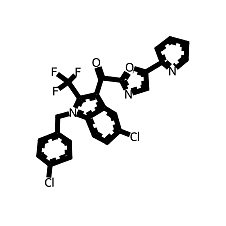 O=C(c1ncc(-c2ccccn2)o1)c1c(C(F)(F)F)n(Cc2ccc(Cl)cc2)c2ccc(Cl)cc12